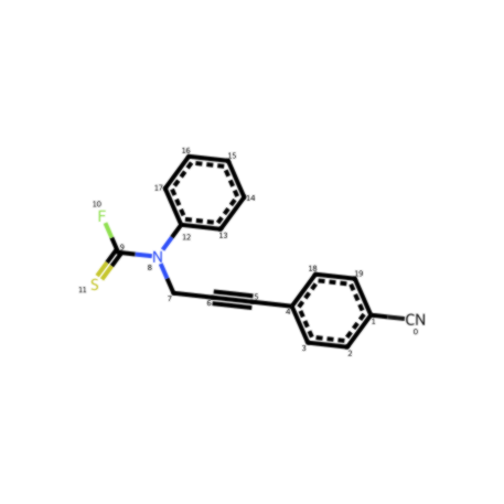 N#Cc1ccc(C#CCN(C(F)=S)c2ccccc2)cc1